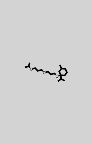 CC1CCCC(OCCCOCCCOC(C)C)(C(C)C)C1